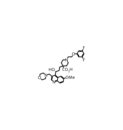 COc1ccc2ncc(CN3CCOCC3)c([C@H](O)CCC3(C(=O)O)CCN(CCOc4cc(F)cc(F)c4)CC3)c2c1